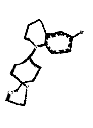 Brc1ccc2c(c1)CCCN2C1CCC2(CC1)OCCO2